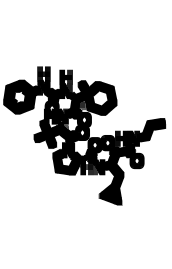 C=CCNC(=O)C(=O)C(CC1CC1)NC(=O)[C@@H]1CCCN1C(=O)[C@@H](NC(=O)[C@@H](NC(=O)Nc1ccccc1)C1(C)CCCCC1)C(C)(C)C